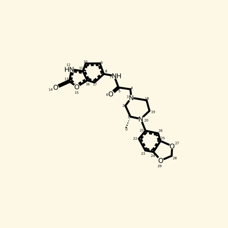 C[C@@H]1CN(CC(=O)Nc2ccc3[nH]c(=O)oc3c2)CCN1c1ccc2c(c1)OCO2